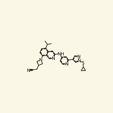 CC(C)c1ccc(N2CC(CC#N)C2)c2cnc(Nc3ccnc(-c4cnn(SC5CC5)c4)c3)cc12